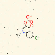 O=C(O)Oc1cn(C2CC2)c2ccc(Cl)cc2c1=O